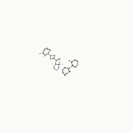 Cc1ccnc(C2CN(C(=O)[C@]3(C)CC[C@@H](c4cnnc(-c5ccccc5F)c4)C3(C)C)C2)n1